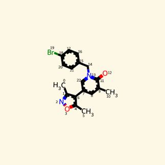 Cc1noc(C)c1-c1cc(C)c(=O)n(Cc2ccc(Br)cc2)c1